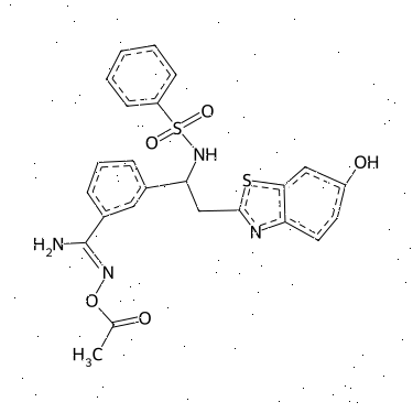 CC(=O)ON=C(N)c1cccc(C(Cc2nc3ccc(O)cc3s2)NS(=O)(=O)c2ccccc2)c1